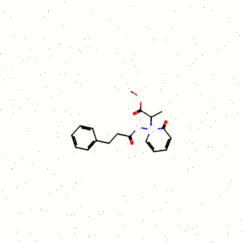 COC(=O)C(C)[N+]1(NC(=O)CCc2ccccc2)C=CC=CC1=O